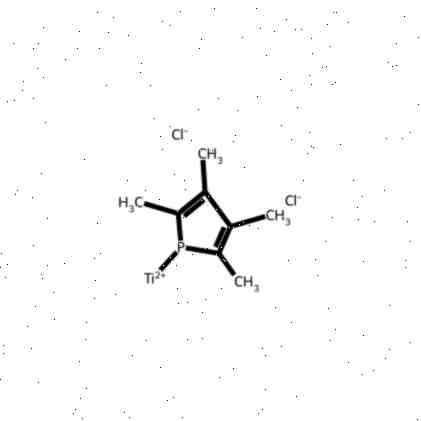 Cc1c(C)c(C)[p]([Ti+2])c1C.[Cl-].[Cl-]